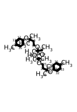 CCC(C)(OCCC(C)(C)Oc1ccc(C)cc1)P(=O)(O)C(C)(C)OCCC(C)(C)Oc1ccc(C)cc1